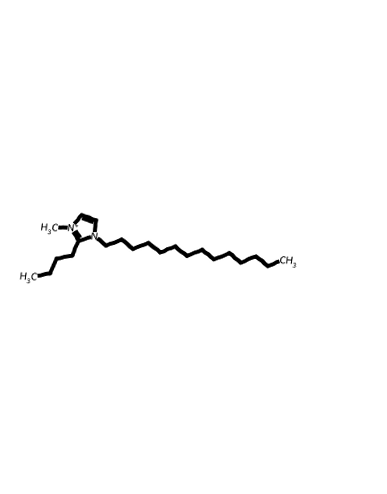 CCCCCCCCCCCCCCn1cc[n+](C)c1CCCC